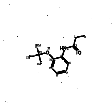 CCC(=O)Nc1ccccc1OC(F)(F)F